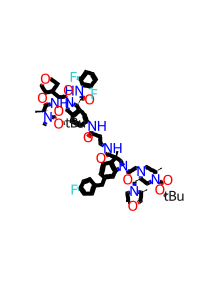 C[C@@H]1COCCN1C[C@H]1CN(C(=O)OC(C)(C)C)[C@@H](C)CN1CC(=O)N1C[C@@](C)(C(=O)NCCC(=O)Nc2ccc3c(c2)[C@@H](C(=O)Nc2c(F)cccc2F)N(C(=O)[C@@H](NC(=O)[C@H](C)N(C)C(=O)OC(C)(C)C)C2CCOCC2)C3)c2ccc(Cc3ccc(F)cc3)cc21